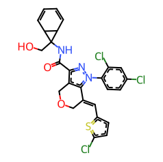 O=C(NC1(CO)C2C=CC=CC21)c1nn(-c2ccc(Cl)cc2Cl)c2c1COC/C2=C\c1ccc(Cl)s1